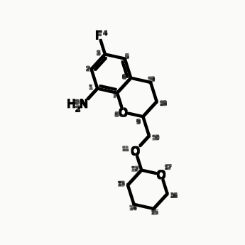 Nc1cc(F)cc2c1OC(COC1CCCCO1)CC2